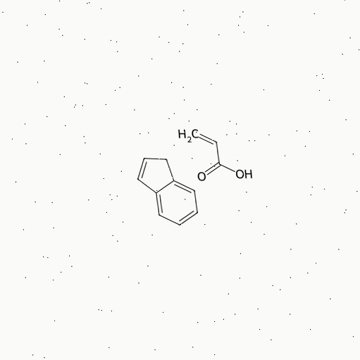 C1=Cc2ccccc2C1.C=CC(=O)O